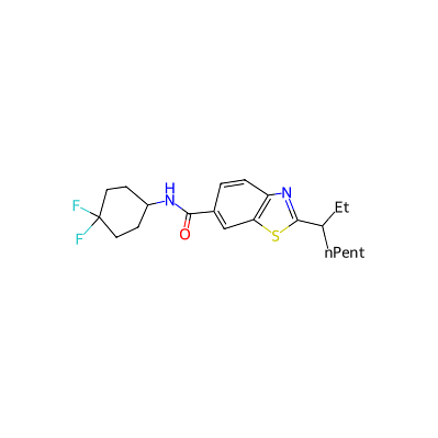 CCCCCC(CC)c1nc2ccc(C(=O)NC3CCC(F)(F)CC3)cc2s1